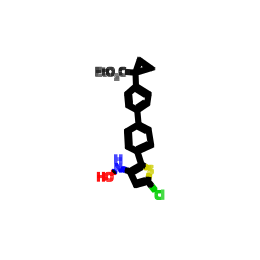 CCOC(=O)C1(c2ccc(-c3ccc(-c4sc(Cl)cc4NO)cc3)cc2)CC1